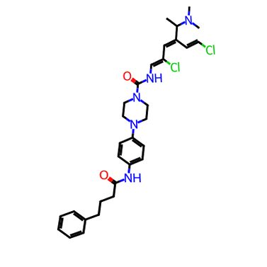 CC(C(/C=C/Cl)=C/C(Cl)=C/NC(=O)N1CCN(c2ccc(NC(=O)CCCc3ccccc3)cc2)CC1)N(C)C